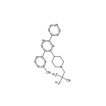 CC(C)(C#N)CN1CCC(c2nc(-c3ccncc3)ncc2-c2cccc(C#N)c2)CC1